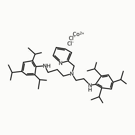 CC(C)c1cc(C(C)C)c(NCCCN(CCNc2c(C(C)C)cc(C(C)C)cc2C(C)C)Cc2ccccn2)c(C(C)C)c1.[Cl-].[Cl-].[Co+2]